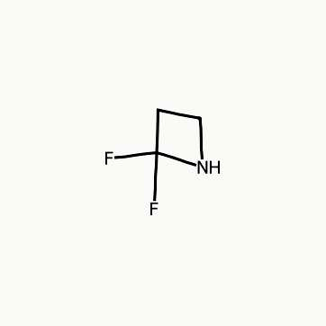 FC1(F)CCN1